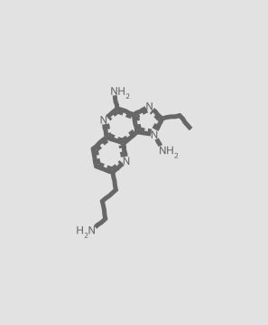 CCc1nc2c(N)nc3ccc(CCCN)nc3c2n1N